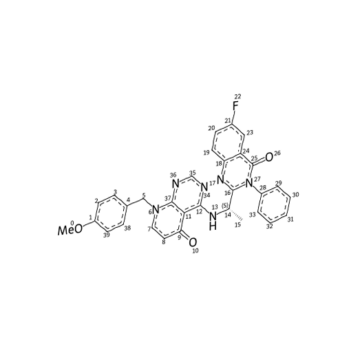 COc1ccc(Cn2ccc(=O)c3c(N[C@@H](C)c4nc5ccc(F)cc5c(=O)n4-c4ccccc4)ncnc32)cc1